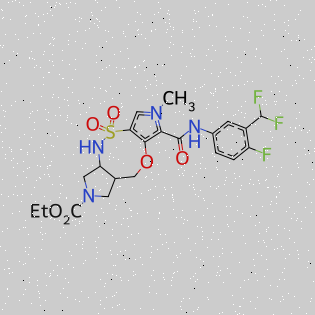 CCOC(=O)N1CC2COc3c(cn(C)c3C(=O)Nc3ccc(F)c(C(F)F)c3)S(=O)(=O)NC2C1